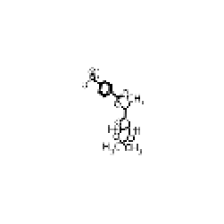 CC[C@H](OC(=O)c1ccc([N+](=O)[O-])cc1)[C@@H]1C[C@H]2OC(C)(C)O[C@H]2O1